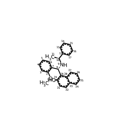 COc1ccccc1[C@H](N[C@@H](C)c1ccccc1)c1c(O)ccc2ccccc12